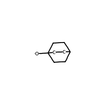 [O]C12CCC(CC1)CC2